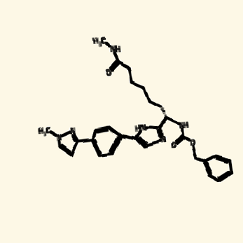 CNC(=O)CCCCC[C@H](NC(=O)OCc1ccccc1)c1ncc(-c2ccc(-c3ccn(C)n3)cc2)[nH]1